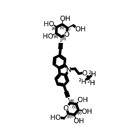 [2H]C([2H])([2H])OCCn1c2cc(C#C[C@H]3O[C@H](CO)[C@@H](O)[C@H](O)[C@H]3O)ccc2c2ccc(C#C[C@H]3O[C@H](CO)[C@@H](O)[C@H](O)[C@@H]3O)cc21